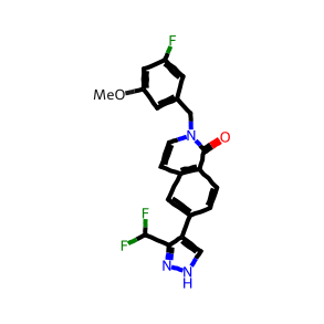 COc1cc(F)cc(Cn2ccc3cc(-c4c[nH]nc4C(F)F)ccc3c2=O)c1